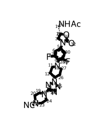 CC(=O)NC[C@H]1CN(c2cc(F)c(N3CCC(n4nnc(N5CCN(C#N)CC5)n4)CC3)c(F)c2)C(=O)O1